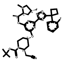 C[C@H](Oc1cc(O[C@H]2CCN(C(=O)OC(C)(C)C)[C@H](CC#N)C2)nc(-c2noc(C3(c4ccccc4F)CCC3)n2)n1)[C@@H]1C[C@@H](F)CN1C